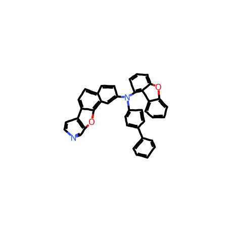 c1ccc(-c2ccc(N(c3ccc4ccc5c6ccncc6oc5c4c3)c3cccc4oc5ccccc5c34)cc2)cc1